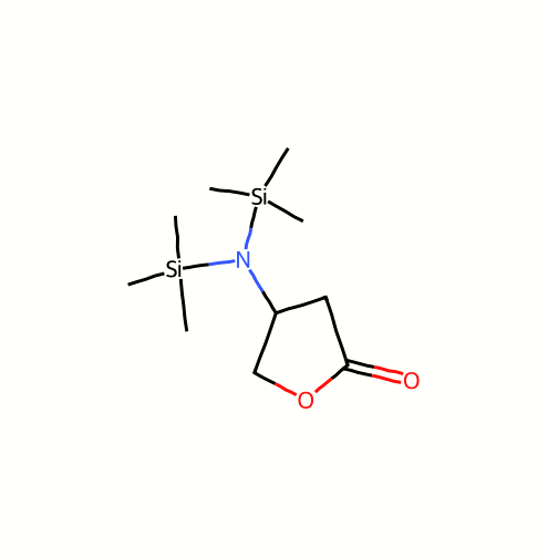 C[Si](C)(C)N(C1COC(=O)C1)[Si](C)(C)C